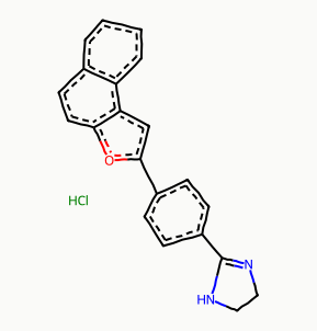 Cl.c1ccc2c(c1)ccc1oc(-c3ccc(C4=NCCN4)cc3)cc12